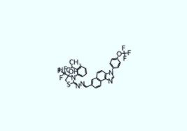 CC(C)c1ccccc1N1C(=NN=Cc2ccc3c(ccc4c3ncn4-c3ccc(OC(F)(F)F)cc3)c2)SCC1(O)C(F)(F)F